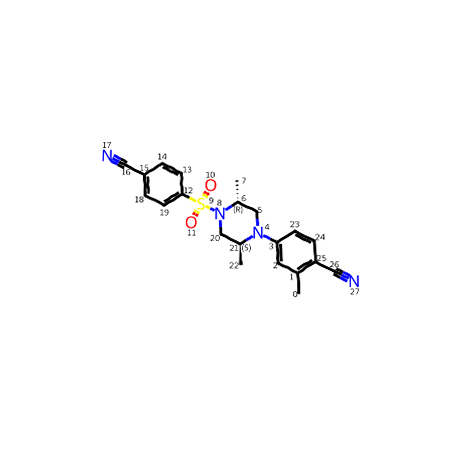 Cc1cc(N2C[C@@H](C)N(S(=O)(=O)c3ccc(C#N)cc3)C[C@@H]2C)ccc1C#N